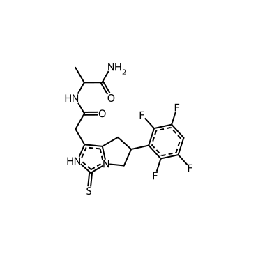 CC(NC(=O)Cc1[nH]c(=S)n2c1CC(c1c(F)c(F)cc(F)c1F)C2)C(N)=O